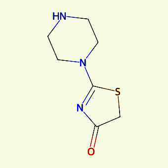 O=C1CSC(N2CCNCC2)=N1